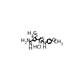 COc1ccc(Nc2nc(-c3cc(C(=N)N)sc3SC)cs2)cc1.Cl